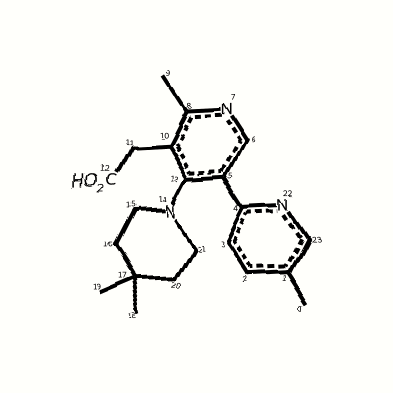 Cc1ccc(-c2cnc(C)c(CC(=O)O)c2N2CCC(C)(C)CC2)nc1